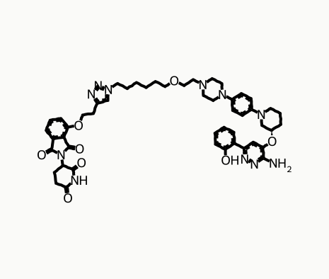 Nc1nnc(-c2ccccc2O)cc1O[C@H]1CCCN(c2ccc(N3CCN(CCOCCCCCCn4cc(CCOc5cccc6c5C(=O)N(C5CCC(=O)NC5=O)C6=O)nn4)CC3)cc2)C1